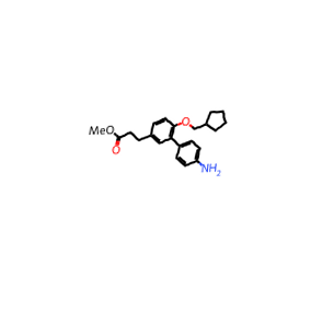 COC(=O)CCc1ccc(OCC2CCCC2)c(-c2ccc(N)cc2)c1